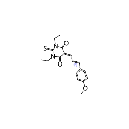 CCN1C(=O)C(=C/C=C/c2ccc(OC)cc2)C(=O)N(CC)C1=S